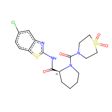 O=C(Nc1nc2cc(Cl)ccc2s1)[C@@H]1CCCCN1C(=O)N1CCS(=O)(=O)CC1